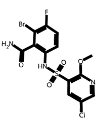 COc1ncc(Cl)cc1S(=O)(=O)Nc1ccc(F)c(Br)c1C(N)=O